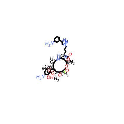 CC[C@H]1OC(=O)C(C)(F)C(=O)[C@@H](C)[C@@H](O[C@@H]2O[C@H](C)CC(N)C2O)[C@](C)(OC)C[C@@H](C)CN[C@H](C)[C@H]2N(CCCCn3cc(-c4cccc(N)c4)nn3)C(=O)O[C@]12C